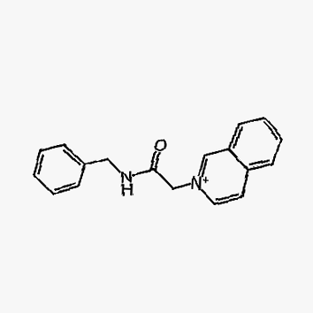 O=C(C[n+]1ccc2ccccc2c1)NCc1ccccc1